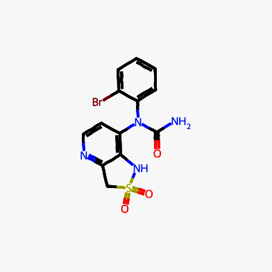 NC(=O)N(c1ccccc1Br)c1ccnc2c1NS(=O)(=O)C2